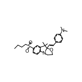 CCCCS(=O)(=O)c1ccc2c(c1)C(C)(C)C1(C=Cc3ccc(N(C)C)cc3)OCCN21